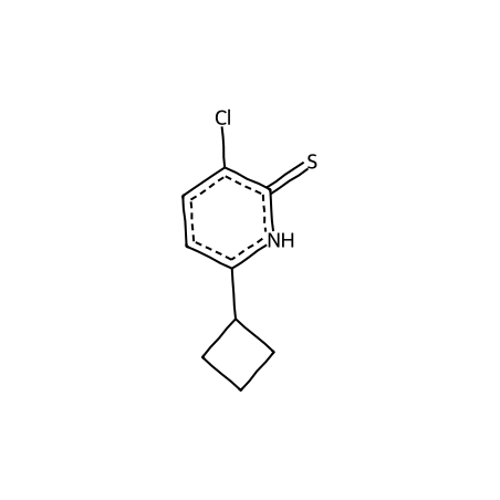 S=c1[nH]c(C2CCC2)ccc1Cl